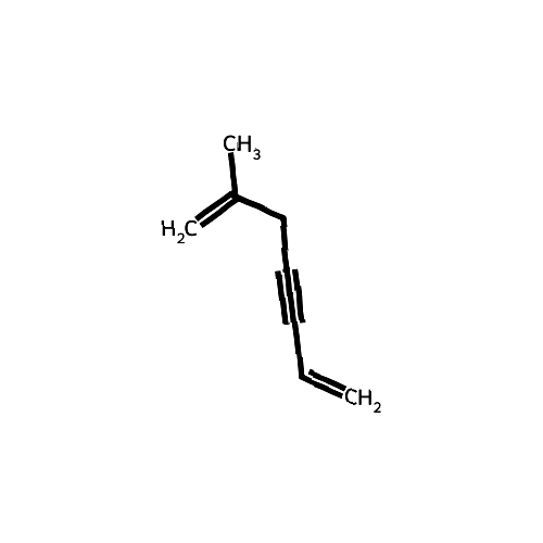 C=CC#CCC(=C)C